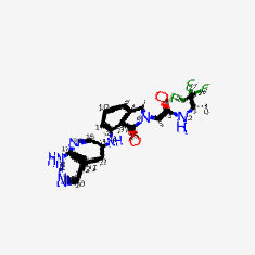 C[C@H](NC(=O)CN1Cc2cccc(Nc3cnc4[nH]ncc4c3)c2C1=O)C(F)(F)F